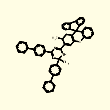 CC1CC2=C(C=C1C1=NC(c3ccc(-c4ccccc4)cc3)=NC(C)(c3ccc(-c4ccccc4)cc3)N1)Oc1ccccc1C21c2ccccc2-c2ccccc21